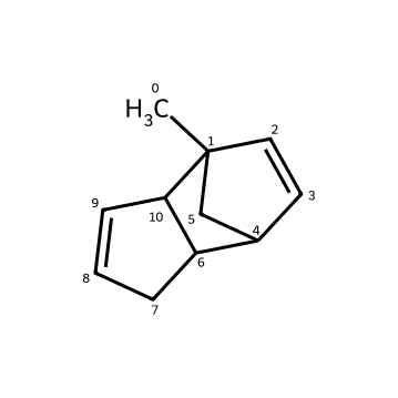 CC12C=CC(C1)C1CC=CC12